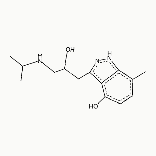 Cc1ccc(O)c2c(CC(O)CNC(C)C)n[nH]c12